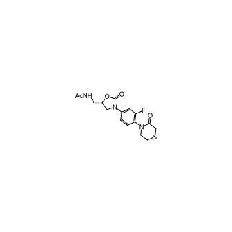 CC(=O)NC[C@H]1CN(c2ccc(N3CCSCC3=O)c(F)c2)C(=O)O1